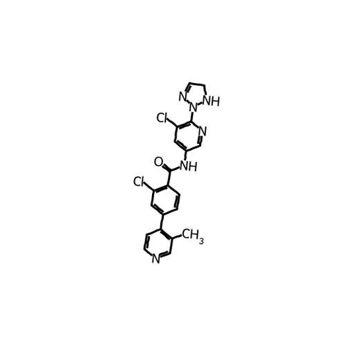 Cc1cnccc1-c1ccc(C(=O)Nc2cnc(N3N=CCN3)c(Cl)c2)c(Cl)c1